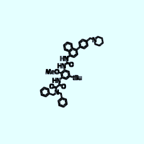 COc1c(NC(=O)Nc2ccc(-c3ccc(CN4CCCCC4)cc3)c3ccccc23)cc(C(C)(C)C)cc1NC(=O)C(=O)N(Cc1ccccc1)Cc1ccccc1